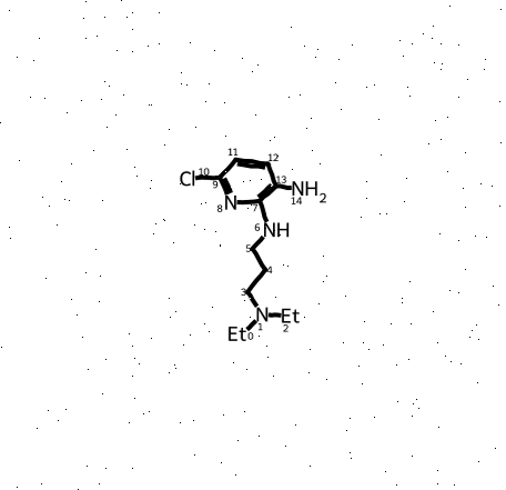 CCN(CC)CCCNc1nc(Cl)ccc1N